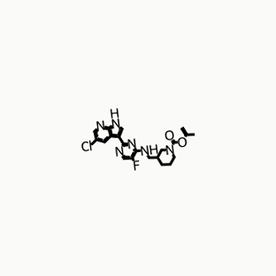 C=C(C)OC(=O)N1CCCC(CNc2nc(-c3c[nH]c4ncc(Cl)cc34)ncc2F)C1